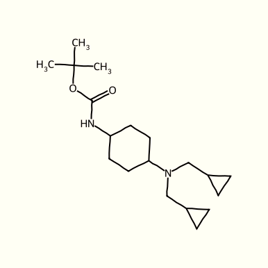 CC(C)(C)OC(=O)NC1CCC(N(CC2CC2)CC2CC2)CC1